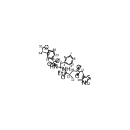 CC[C@](Cc1ccccc1)(NC(=O)[C@H](C)CS(=O)(=O)Cc1cncs1)NS(=O)(=O)c1ccc2c(c1)CCO2